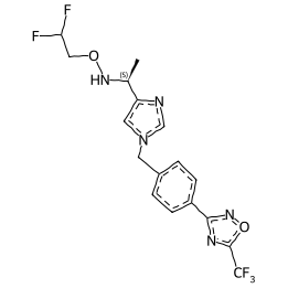 C[C@H](NOCC(F)F)c1cn(Cc2ccc(-c3noc(C(F)(F)F)n3)cc2)cn1